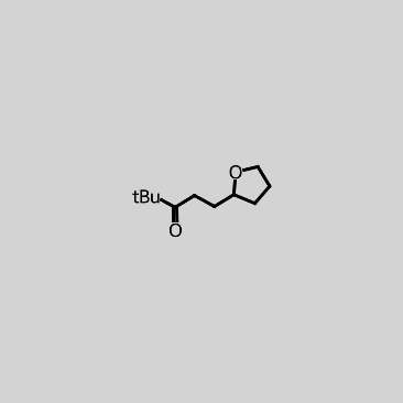 CC(C)(C)C(=O)CCC1CCCO1